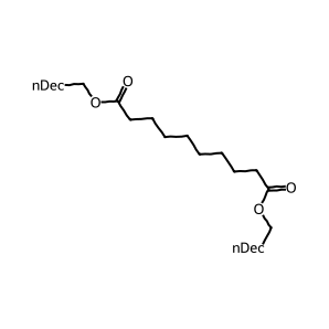 CCCCCCCCCCCOC(=O)CCCCCCCCC(=O)OCCCCCCCCCCC